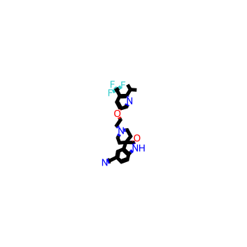 CC(C)c1ncc(OCCN2CCC3(CC2)C(=O)Nc2ccc(C#N)cc23)cc1C(F)(F)F